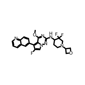 COc1nc(NC2CCN(C3COC3)CC2(F)F)nn2cc(F)c(-c3ccc4ncccc4c3)c12